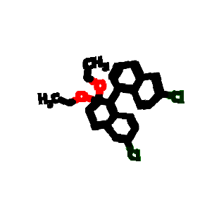 CCOC1(OCC)CC=c2cc(Cl)ccc2=C1c1cccc2cc(Cl)ccc12